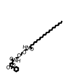 CCC=CCC=CCC=CCC=CCC=CCC=CCCC(=O)NCCOCCOCCNC(=O)C1=CC(=O)C(C)(c2ccccc2)O1